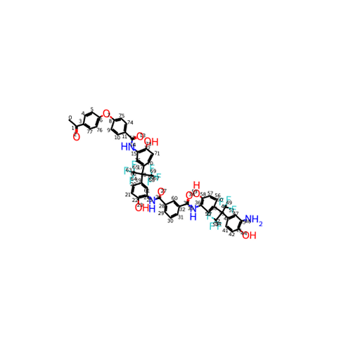 CC(=O)c1ccc(Oc2ccc(C(=O)Nc3cc(C(c4ccc(O)c(NC(=O)c5cccc(C(=O)Nc6cc(C(c7ccc(O)c(N)c7)(C(F)(F)F)C(F)(F)F)ccc6O)c5)c4)(C(F)(F)F)C(F)(F)F)ccc3O)cc2)cc1